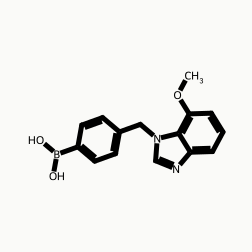 COc1cccc2ncn(Cc3ccc(B(O)O)cc3)c12